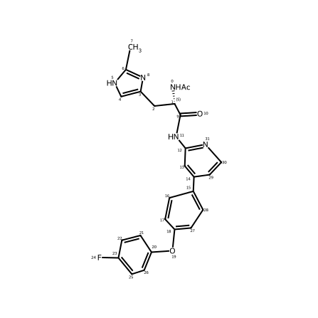 CC(=O)N[C@@H](Cc1c[nH]c(C)n1)C(=O)Nc1cc(-c2ccc(Oc3ccc(F)cc3)cc2)ccn1